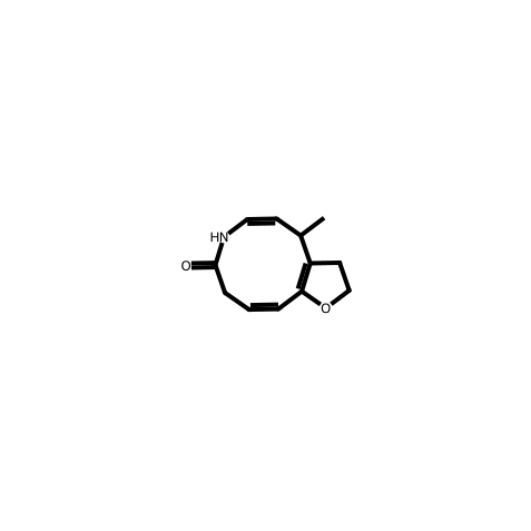 CC1/C=C\NC(=O)C/C=C\C2=C1CCO2